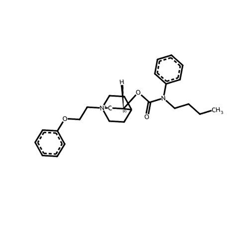 CCCCN(C(=O)O[C@H]1C[N+]2(CCOc3ccccc3)CCC1CC2)c1ccccc1